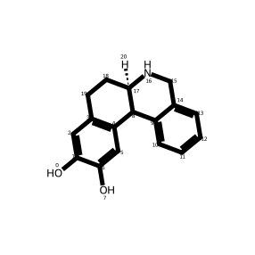 Oc1cc2c(cc1O)C1c3ccccc3CN[C@@H]1CC2